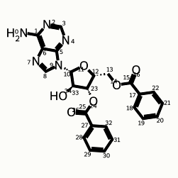 Nc1ncnc2c1ncn2[C@@H]1O[C@H](COC(=O)c2ccccc2)[C@H](OC(=O)c2ccccc2)[C@H]1O